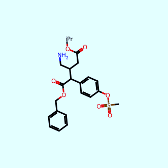 CC(C)OC(=O)CC(CN)C(C(=O)OCc1ccccc1)c1ccc(OS(C)(=O)=O)cc1